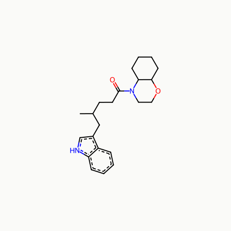 CC(CCC(=O)N1CCOC2CCCCC21)Cc1c[nH]c2ccccc12